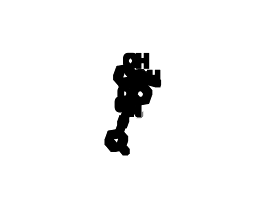 Cc1cccc(C#CC(=O)N(C)[C@@H]2CC[C@H]3[C@H]4Cc5c(O)ccc6c5[C@@]3(CCN4C)[C@H]2O6)c1